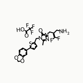 Cc1nn(CC(CN)=C(F)F)c(=O)n1Cc1ccc(-c2ccc3c(c2)OCO3)s1.O=C(O)C(F)(F)F